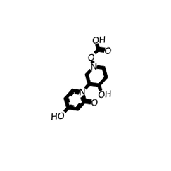 O=C(O)ON1CCC(O)C(n2ccc(O)cc2=O)C1